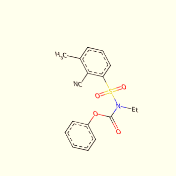 CCN(C(=O)Oc1ccccc1)S(=O)(=O)c1cccc(C)c1C#N